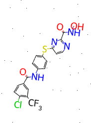 O=C(Nc1ccc(Sc2ccnc(C(=O)NO)n2)cc1)c1ccc(Cl)c(C(F)(F)F)c1